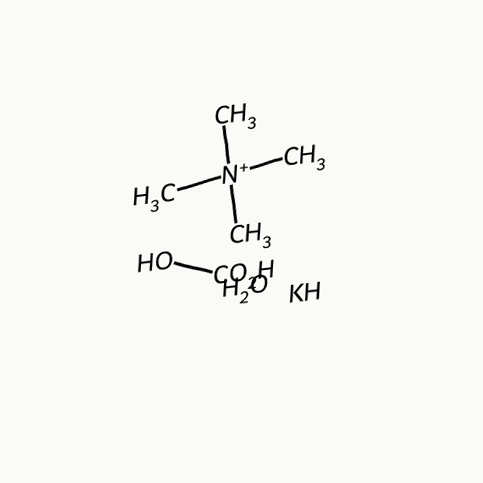 C[N+](C)(C)C.O.O=C(O)O.[KH]